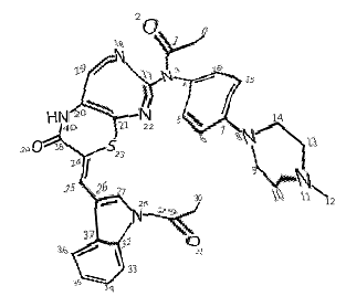 CC(=O)N(c1ccc(N2CCN(C)CC2)cc1)c1ncc2c(n1)SC(=Cc1cn(C(C)=O)c3ccccc13)C(=O)N2